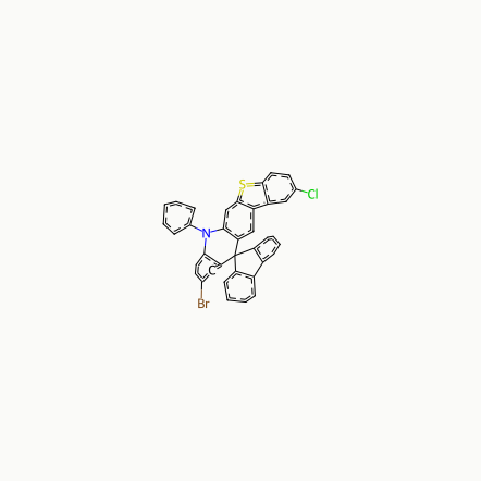 Clc1ccc2sc3cc4c(cc3c2c1)C1(c2ccccc2-c2ccccc21)c1cc(Br)ccc1N4c1ccccc1